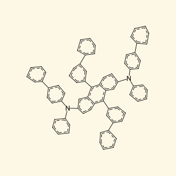 c1ccc(-c2ccc(N(c3ccccc3)c3ccc4c(-c5cccc(-c6ccccc6)c5)c5cc(N(c6ccccc6)c6ccc(-c7ccccc7)cc6)ccc5c(-c5cccc(-c6ccccc6)c5)c4c3)cc2)cc1